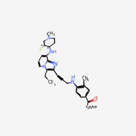 CNC(=O)c1ccc(NCC#Cc2nc3c(N[C@@H]4CCN(C)C[C@@H]4F)cccn3c2CC(F)(F)F)c(C#N)c1